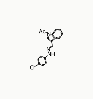 CC(=O)n1cc(C=NNc2ccc(Cl)cc2)c2ccccc21